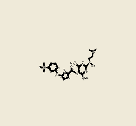 CCN(CCN(C)C)c1nc(OC)c(NC(=O)c2ccc(Oc3cccc([Si](C)(C)C)c3)o2)c(OC)n1